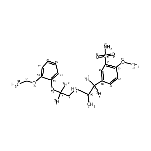 [2H]C([2H])(CN[C@H](C)C([2H])([2H])c1ccc(OC)c(S(N)(=O)=O)c1)Oc1ccccc1OCC